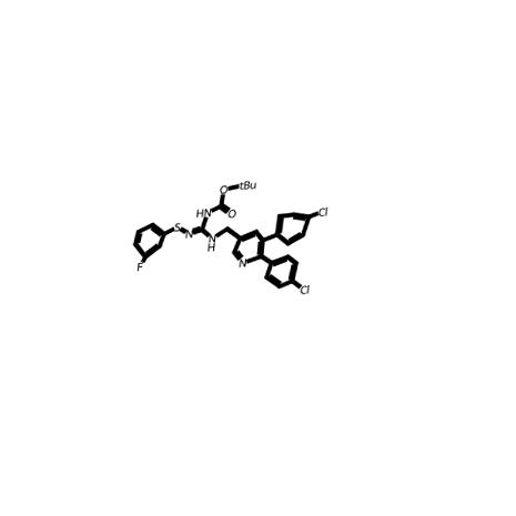 CC(C)(C)OC(=O)N/C(=N\Sc1cccc(F)c1)NCc1cnc(-c2ccc(Cl)cc2)c(-c2ccc(Cl)cc2)c1